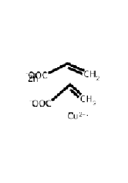 C=CC(=O)[O-].C=CC(=O)[O-].[Cu+2].[Zn]